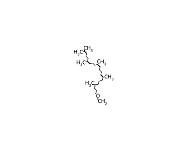 C=COCCCC(C)=CCCC(C)=CCCC=C(C)CCC=C(C)CCC=C(C)C